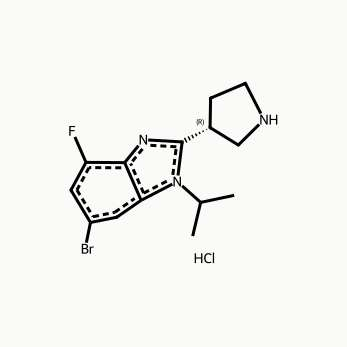 CC(C)n1c([C@@H]2CCNC2)nc2c(F)cc(Br)cc21.Cl